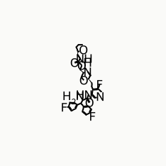 N[C@H](C(=O)Nc1cncc(F)c1CC[C@@H]1CN[C@H](COC(=O)NC[C@H]2CCCO2)CO1)C(c1ccc(F)cc1)c1ccc(F)cc1